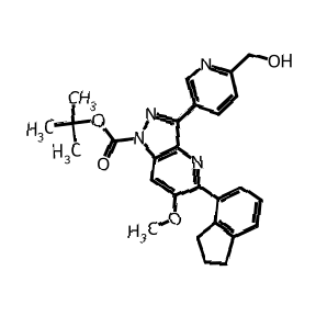 COc1cc2c(nc1-c1cccc3c1CCC3)c(-c1ccc(CO)nc1)nn2C(=O)OC(C)(C)C